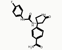 NC(=O)c1ccc([C@@]2(NC(=O)Nc3ccc(F)cc3)CNC(=O)C2)cc1